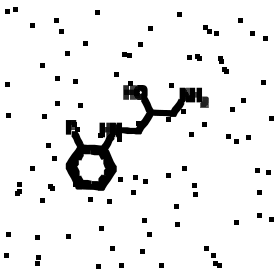 NCC(O)CNc1ccccc1F